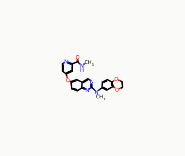 CNC(=O)c1cc(Oc2ccc3nc(N(C)c4ccc5c(c4)OCCO5)ncc3c2)ccn1